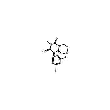 CN1C(=N)NC2(c3ccc(F)cc3F)COCCC2C1=O